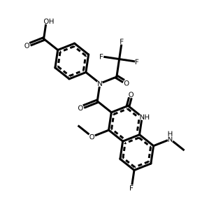 CNc1cc(F)cc2c(OC)c(C(=O)N(C(=O)C(F)(F)F)c3ccc(C(=O)O)cc3)c(=O)[nH]c12